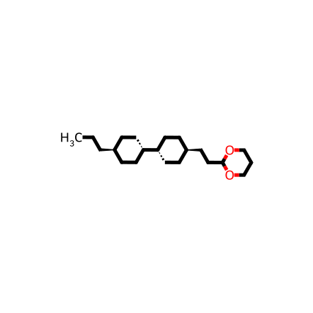 CCC[C@H]1CC[C@H]([C@H]2CC[C@H](CCC3OCCCO3)CC2)CC1